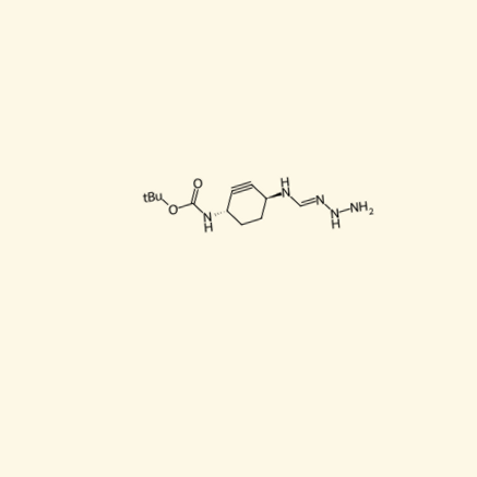 CC(C)(C)OC(=O)N[C@@H]1C#C[C@@H](NC=NNN)CC1